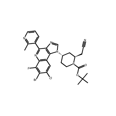 Cc1ncccc1-c1nc2c(F)c(Br)c(Cl)cc2c2c1ncn2[C@H]1CCN(C(=O)OC(C)(C)C)[C@H](CC#N)C1